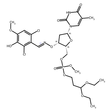 CCOC(CCOP(=O)(OC)OC[C@H]1O[C@@H](n2cc(C)c(=O)[nH]c2=O)C[C@H]1O/N=C/c1c(Cl)cc(OC)c(O)c1Cl)OCC